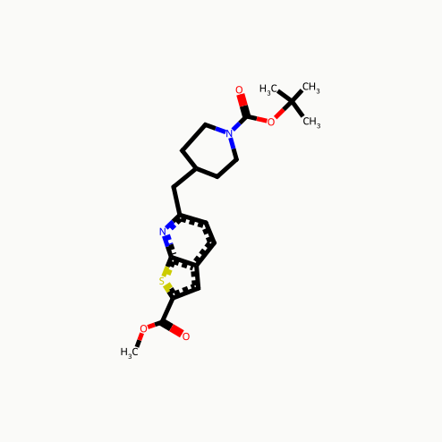 COC(=O)c1cc2ccc(CC3CCN(C(=O)OC(C)(C)C)CC3)nc2s1